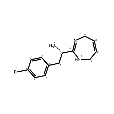 C[C@@H](Cc1ccc(Br)cc1)C1=NCC=CCN1